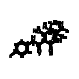 Cc1ccc(NC(=O)C2=C(O)[C@H]3CNC(C)[C@@H]3NC2=O)cc1